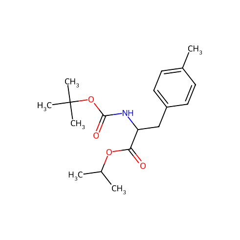 Cc1ccc(CC(NC(=O)OC(C)(C)C)C(=O)OC(C)C)cc1